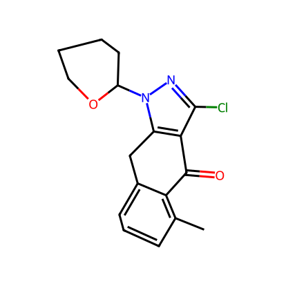 Cc1cccc2c1C(=O)c1c(Cl)nn(C3CCCCO3)c1C2